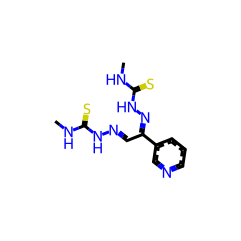 CNC(=S)N/N=C(\C=N\NC(=S)NC)c1cccnc1